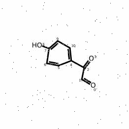 O=[C]C(=O)c1ccc(O)cc1